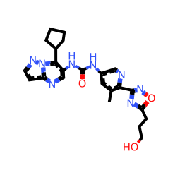 Cc1cc(NC(=O)Nc2cnc3ccnn3c2C2CCCC2)cnc1-c1noc(CCCO)n1